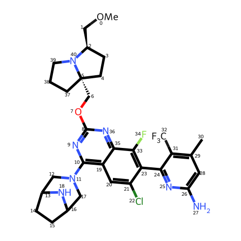 COC[C@H]1CC[C@@]2(COc3nc(N4CC5CCC(C4)N5)c4cc(Cl)c(-c5nc(N)cc(C)c5C(F)(F)F)c(F)c4n3)CCCN12